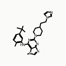 Cc1ccc(C(C)(C)C)cc1Nc1nc(N2CCC(CCn3ccnc3)CC2)nc2ncn(C)c12